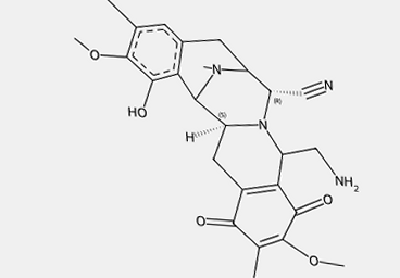 COC1=C(C)C(=O)C2=C(C1=O)C(CN)N1[C@@H](C#N)C3Cc4cc(C)c(OC)c(O)c4C([C@@H]1C2)N3C